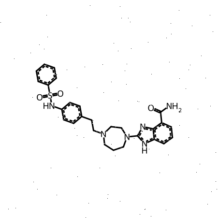 NC(=O)c1cccc2[nH]c(N3CCCN(CCc4ccc(NS(=O)(=O)c5ccccc5)cc4)CC3)nc12